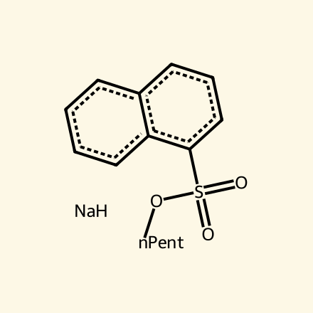 CCCCCOS(=O)(=O)c1cccc2ccccc12.[NaH]